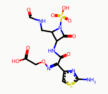 Nc1nc(/C(=N/OCC(=O)O)C(=O)NC2C(=O)N(S(=O)(=O)O)C2CNC=O)cs1